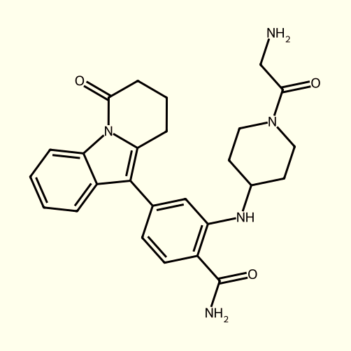 NCC(=O)N1CCC(Nc2cc(-c3c4n(c5ccccc35)C(=O)CCC4)ccc2C(N)=O)CC1